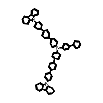 C1=Cc2c(n(-c3ccc(-c4ccc(-c5ccc(N(c6ccc(-c7ccccc7)cc6)c6ccc(-c7ccc(-c8ccc(-n9c%10ccccc%10c%10ccccc%109)cc8)cc7)cc6)cc5)cc4)cc3)c3ccccc23)CC1